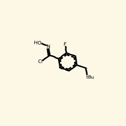 CC(C)(C)[CH]c1ccc(C(Cl)=NO)c(F)c1